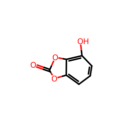 O=c1oc2cccc(O)c2o1